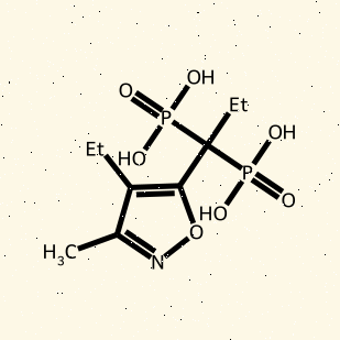 CCc1c(C)noc1C(CC)(P(=O)(O)O)P(=O)(O)O